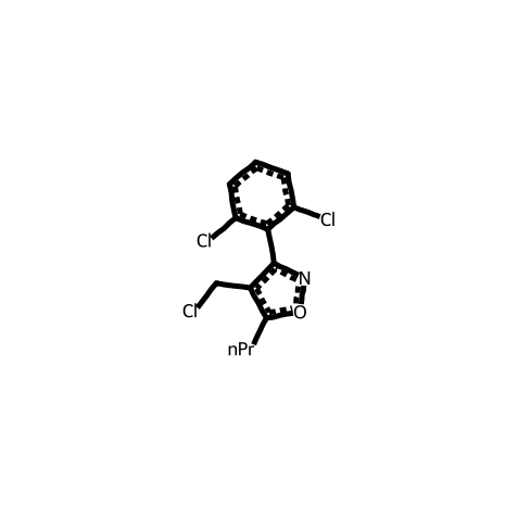 CCCc1onc(-c2c(Cl)cccc2Cl)c1CCl